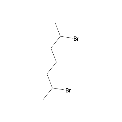 CC(Br)CCCC(C)Br